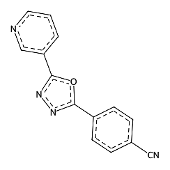 N#Cc1ccc(-c2nnc(-c3cccnc3)o2)cc1